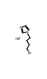 Br.BrCCCCn1ccnc1